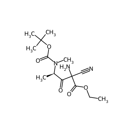 CCOC(=O)C(N)(C#N)C(=O)[C@@H](C)N(C)C(=O)OC(C)(C)C